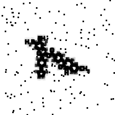 Bc1ccc(C[C@@H](OC(=O)N2CCC(N3CCC4=C[C@@H](C)CC=C4NC3=O)CC2)C(=O)N2CCC(N3CCCC3)CC2)cc1B